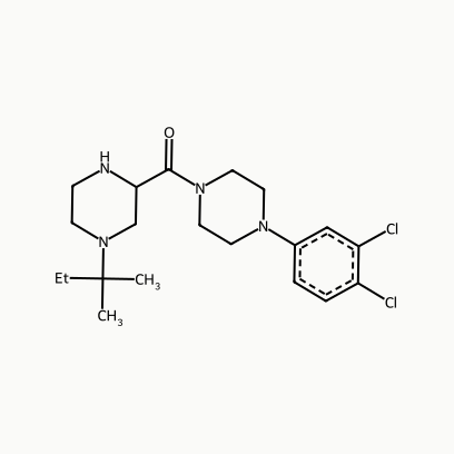 CCC(C)(C)N1CCNC(C(=O)N2CCN(c3ccc(Cl)c(Cl)c3)CC2)C1